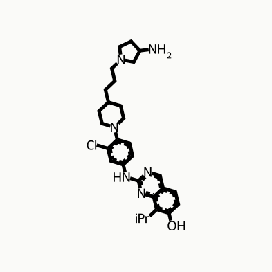 CC(C)c1c(O)ccc2cnc(Nc3ccc(N4CCC(CCCN5CCC(N)C5)CC4)c(Cl)c3)nc12